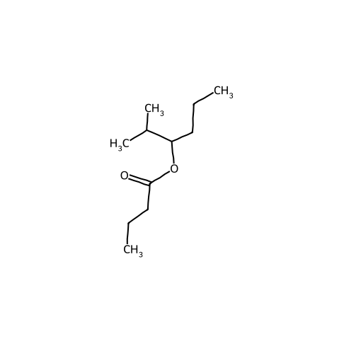 CCCC(=O)OC(CCC)C(C)C